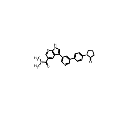 CN(C)C(=O)c1cnc2[nH]cc(-c3cncc(-c4ccc(N5CCCC5=O)cc4)c3)c2c1